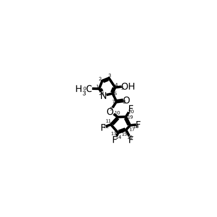 Cc1ccc(O)c(C(=O)Oc2c(F)c(F)c(F)c(F)c2F)n1